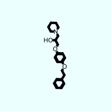 OC(COc1ccc(OCCc2ccccc2)cc1)CN1CCCCC1